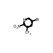 O=[N+]([O-])c1ncc(Br)cc1C(F)(F)F